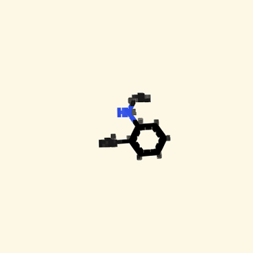 CCCCNc1ccccc1CCCC